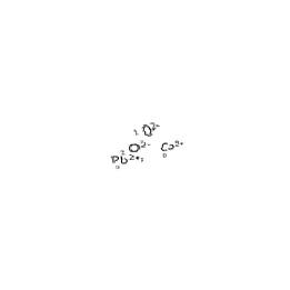 [Ca+2].[O-2].[O-2].[Pb+2]